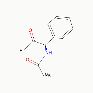 CCC(=O)[C@H](NC(=O)NC)c1ccccc1